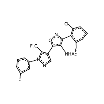 CC(=O)Nc1c(-c2c(F)cccc2Cl)noc1-c1cnn(-c2cccc(F)c2)c1C(F)(F)F